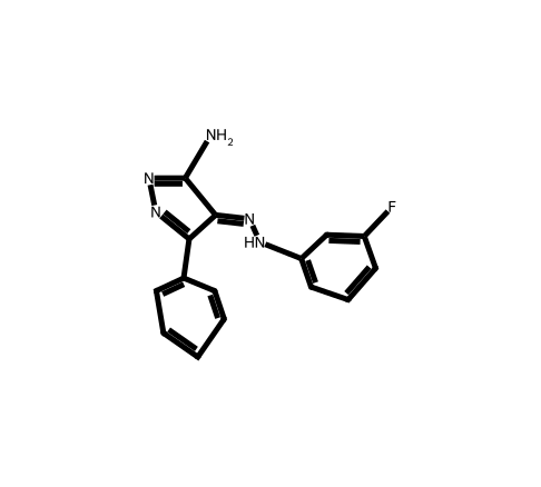 NC1=NN=C(c2ccccc2)/C1=N\Nc1cccc(F)c1